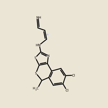 CC1Sc2sc(N/C=C\C=N)nc2-c2cc(Cl)c(Cl)cc21